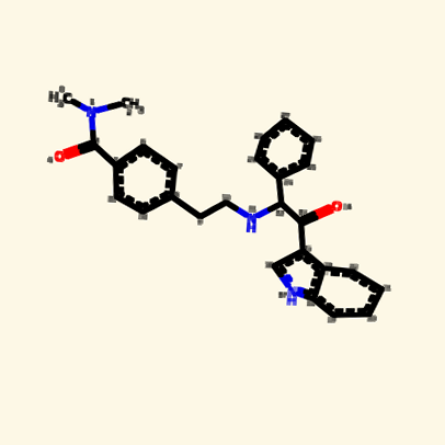 CN(C)C(=O)c1ccc(CCNC(C(=O)c2c[nH]c3ccccc23)c2ccccc2)cc1